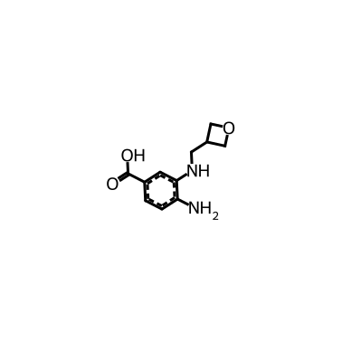 Nc1ccc(C(=O)O)cc1NCC1COC1